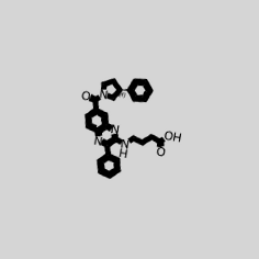 O=C(O)CCCNc1nc2cc(C(=O)N3CC[C@H](c4ccccc4)C3)ccc2nc1-c1ccccc1